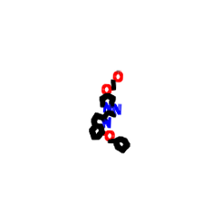 COCCOc1ccn2c(-c3ccc4cccc(OCc5ccccc5)c4n3)cnc2c1